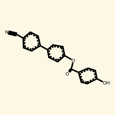 N#Cc1ccc(-c2ccc(OC(=O)c3ccc(O)cc3)cc2)cc1